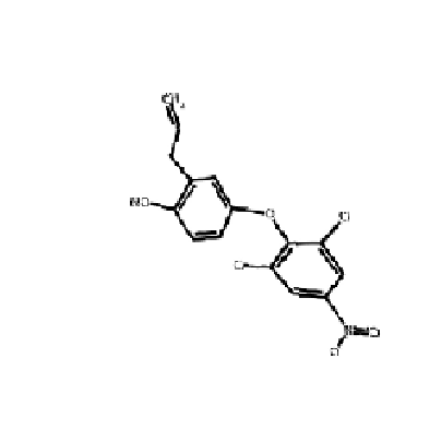 C=CCc1cc(Oc2c(Cl)cc([N+](=O)[O-])cc2Cl)ccc1O